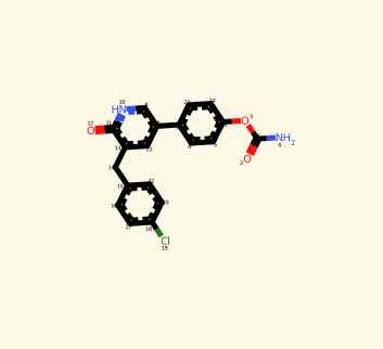 NC(=O)Oc1ccc(-c2c[nH]c(=O)c(Cc3ccc(Cl)cc3)c2)cc1